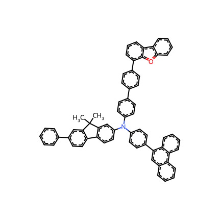 CC1(C)c2cc(-c3ccccc3)ccc2-c2ccc(N(c3ccc(-c4ccc(-c5cccc6c5oc5ccccc56)cc4)cc3)c3ccc(-c4cc5ccccc5c5ccccc45)cc3)cc21